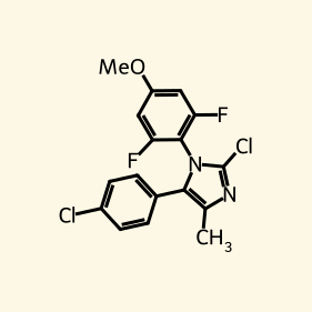 COc1cc(F)c(-n2c(Cl)nc(C)c2-c2ccc(Cl)cc2)c(F)c1